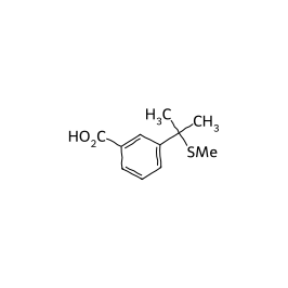 CSC(C)(C)c1cccc(C(=O)O)c1